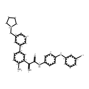 N=C(C(=O)Nc1ccc(Oc2cccc(F)c2)nc1)c1cc(-c2cncc(CN3CCCC3)c2)ccc1N